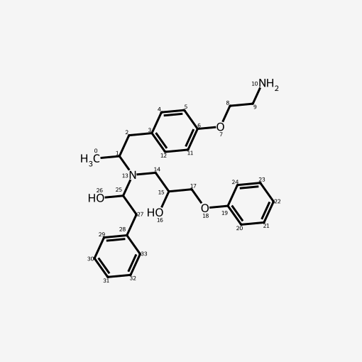 CC(Cc1ccc(OCCN)cc1)N(CC(O)COc1ccccc1)C(O)Cc1ccccc1